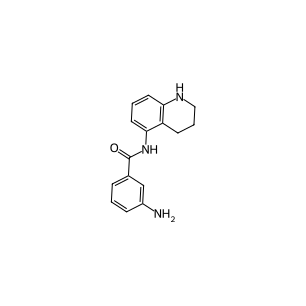 Nc1cccc(C(=O)Nc2cccc3c2CCCN3)c1